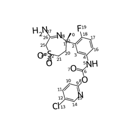 C[C@@]1(c2cc(NC(=O)Oc3ccc(Cl)cn3)ccc2F)CCS(=O)(=O)CC(N)=N1